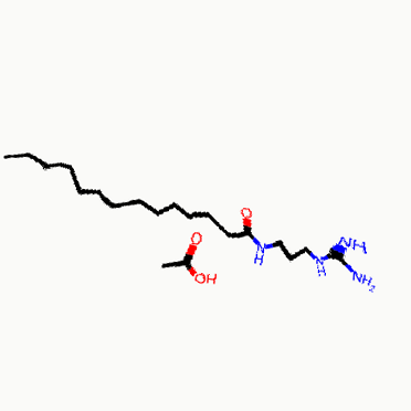 CC(=O)O.CCCCCCCCCCCCCC(=O)NCCCNC(=N)N